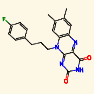 Cc1cc2nc3c(=O)[nH]c(=O)nc-3n(CCCc3ccc(F)cc3)c2cc1C